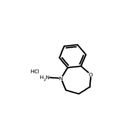 Cl.NN1CCCOc2ccccc21